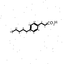 O=C(O)CCc1ccc(CCCCI)cc1